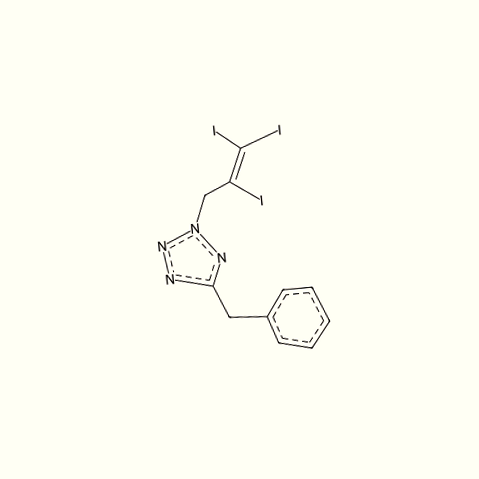 IC(I)=C(I)Cn1nnc(Cc2ccccc2)n1